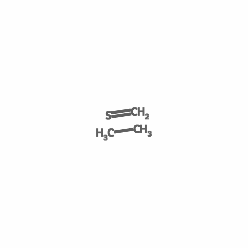 C=S.CC